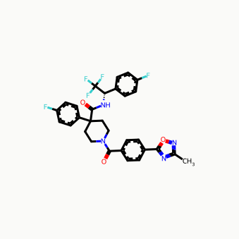 Cc1noc(-c2ccc(C(=O)N3CCC(C(=O)N[C@@H](c4ccc(F)cc4)C(F)(F)F)(c4ccc(F)cc4)CC3)cc2)n1